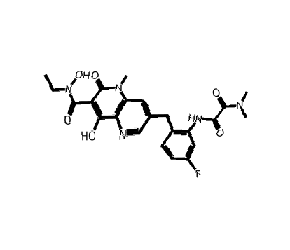 CCN(O)C(=O)c1c(O)c2ncc(Cc3ccc(F)cc3NC(=O)C(=O)N(C)C)cc2n(C)c1=O